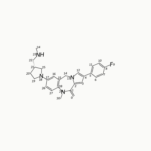 C=C1c2cc(-c3ccc(F)cc3)cn2Cc2cc(N3CC[C@H](CNC)C3)ccc2N1C